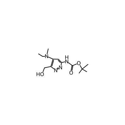 CCN(C)c1cc(NC(=O)OC(C)(C)C)nnc1CO